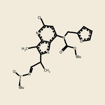 Cc1c(C(C)/C=N/[S@+]([O-])C(C)(C)C)sc2c(N(Cc3ccco3)C(=O)OC(C)(C)C)cc(Cl)nc12